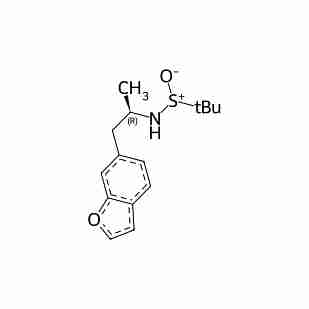 C[C@H](Cc1ccc2ccoc2c1)N[S+]([O-])C(C)(C)C